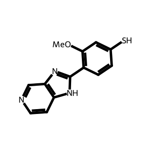 COc1cc(S)ccc1-c1nc2cnccc2[nH]1